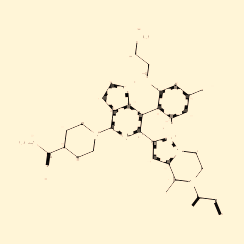 C=CC(=O)N1CCn2nc(-c3nc(N4CCC(C(=O)NC)CC4)c4ccsc4c3-c3c(F)cc(F)cc3OCCOC)cc2C1C